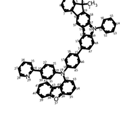 CC1(C)c2ccccc2-c2cc3c4cc(-c5ccc(N(c6ccc(-c7ccccn7)cc6)c6cccc7oc8ccccc8c67)cc5)ccc4n(-c4ccccc4)c3cc21